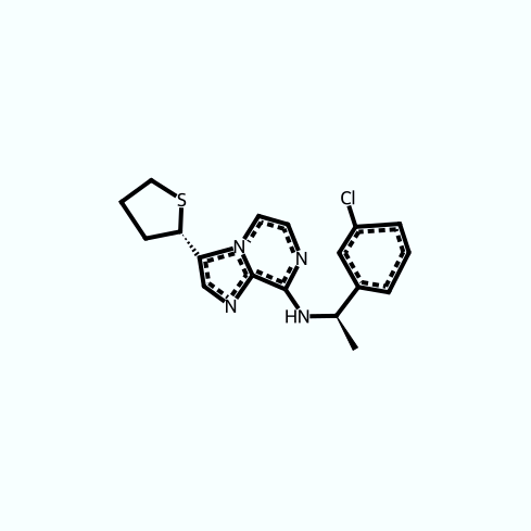 C[C@@H](Nc1nccn2c([C@@H]3CCCS3)cnc12)c1cccc(Cl)c1